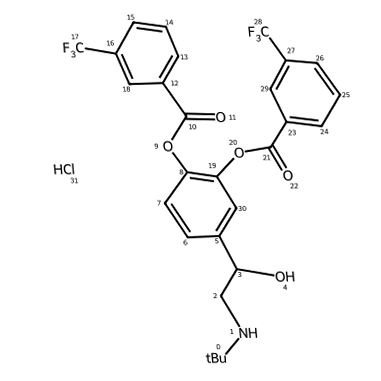 CC(C)(C)NCC(O)c1ccc(OC(=O)c2cccc(C(F)(F)F)c2)c(OC(=O)c2cccc(C(F)(F)F)c2)c1.Cl